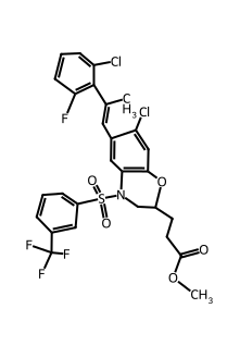 COC(=O)CCC1CN(S(=O)(=O)c2cccc(C(F)(F)F)c2)c2cc(C=C(C)c3c(F)cccc3Cl)c(Cl)cc2O1